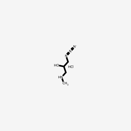 CNCC(O)CN=[N+]=[N-].Cl